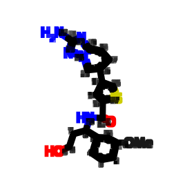 COc1cccc(C(CCO)NC(=O)c2cc(-c3ccc4nc(N)nn4c3)cs2)c1